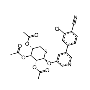 CC(=O)O[C@@H]1[C@@H](OC(C)=O)[C@H](OC(C)=O)CS[C@H]1Oc1cncc(-c2ccc(C#N)c(Cl)c2)c1